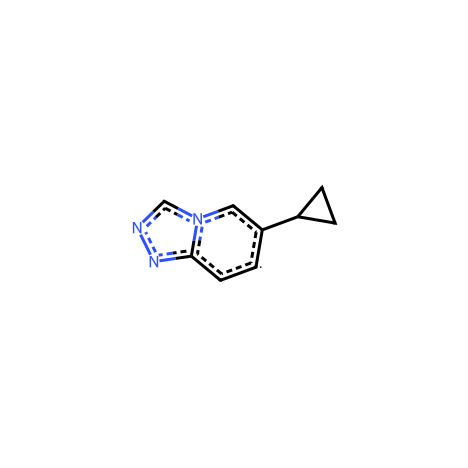 [c]1cc2nncn2cc1C1CC1